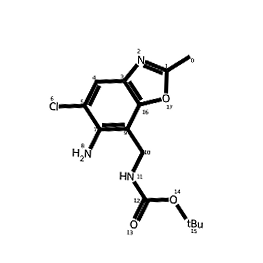 Cc1nc2cc(Cl)c(N)c(CNC(=O)OC(C)(C)C)c2o1